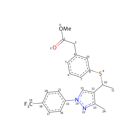 COC(=O)Cc1cccc(SC(C)c2cn(-c3ccc(C(F)(F)F)cc3)nc2C)c1